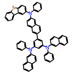 c1ccc(N(c2cc(-c3ccc4cc(N(c5ccccc5)c5ccc6sc7ccccc7c6c5)ccc4c3)cc(N(c3ccccc3)c3ccc4ccccc4c3)c2)c2ccc3ccccc3c2)cc1